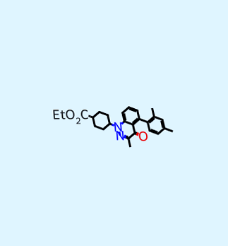 CCOC(=O)C1CCC(n2nc(C)c(=O)c3c(-c4ccc(C)cc4C)cccc32)CC1